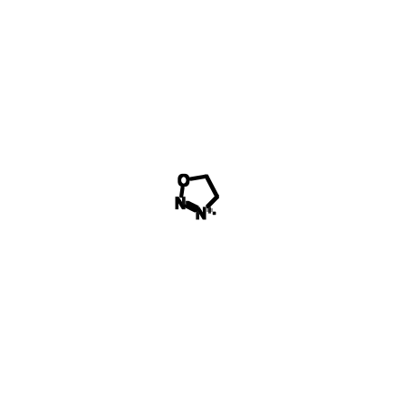 C1CON=[N+]1